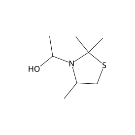 CC(O)N1C(C)CSC1(C)C